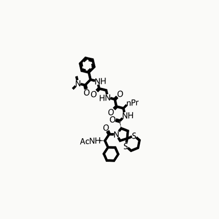 CCCC(NC(=O)[C@@H]1CC2(CN1C(=O)[C@@H](NC(C)=O)C1CCCCC1)SCCCS2)C(=O)C(=O)NCC(=O)NC(C(=O)N(C)C)c1ccccc1